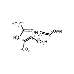 C=C(C)C(=O)O.C=COC.O=C(O)/C=C\C(=O)O